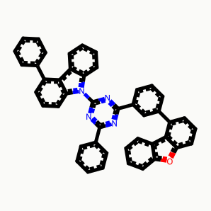 c1ccc(-c2nc(-c3cccc(-c4cccc5oc6ccccc6c45)c3)nc(-n3c4ccccc4c4c(-c5ccccc5)cccc43)n2)cc1